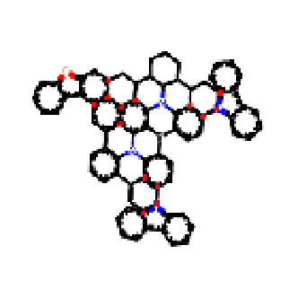 C1=CC(c2cccc(-c3ccccc3)c2N2c3cc(-n4c5ccccc5c5ccccc54)ccc3B3c4ccc(-n5c6ccccc6c6ccccc65)cc4N(C4C(C5CCCCC5)CCCC4C4CCCCC4)c4cc(-c5ccc6oc7ccccc7c6c5)cc2c43)=CCC1